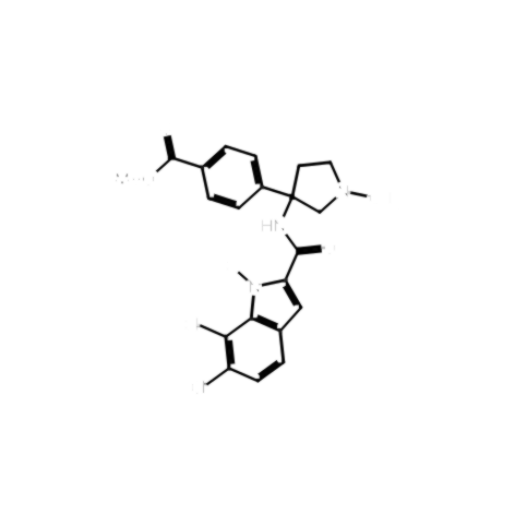 COC(=O)c1ccc(C2(NC(=O)c3cc4ccc(Cl)c(Cl)c4n3C)CCN(C)C2)cc1